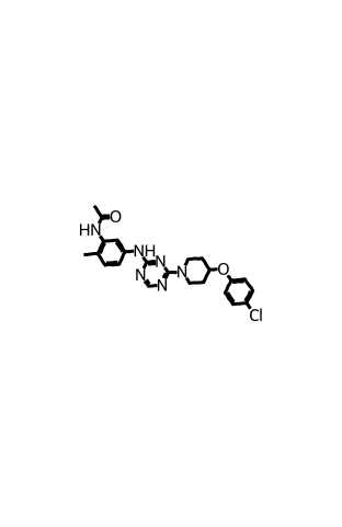 CC(=O)Nc1cc(Nc2ncnc(N3CCC(Oc4ccc(Cl)cc4)CC3)n2)ccc1C